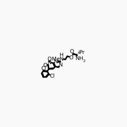 COn1c(=O)c(-c2c(Cl)cccc2Cl)cc2cnc(NCCOC(=O)[C@@H](N)C(C)C)nc21